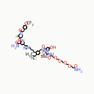 Cc1ncsc1-c1ccc(CNC(=O)[C@@H]2C[C@@H](O)CN2C(=O)[C@@H](NC(=O)CCOCCOCCOCCOCCC(N)=O)C(C)(C)C)cc1CCCCn1cnc(-c2cnc(O[C@@H]3CCN(C(=O)Cc4ccc(OC(F)(F)F)cc4)C[C@H]3F)c(C(N)=O)c2)c1